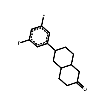 O=C1CCC2CC(c3cc(F)cc(F)c3)CCC2C1